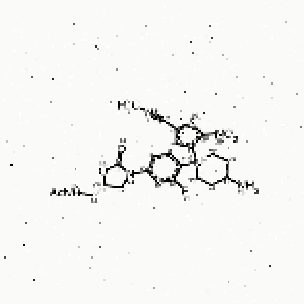 C[N+]#Cc1cc([N+]2(c3ccc(N4C[C@H](CNC(C)=O)OC4=O)cc3F)CCC(N)CC2)c([N+](=O)[O-])s1